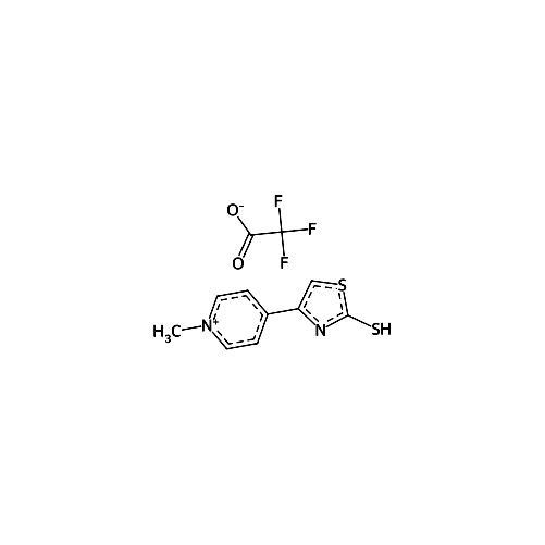 C[n+]1ccc(-c2csc(S)n2)cc1.O=C([O-])C(F)(F)F